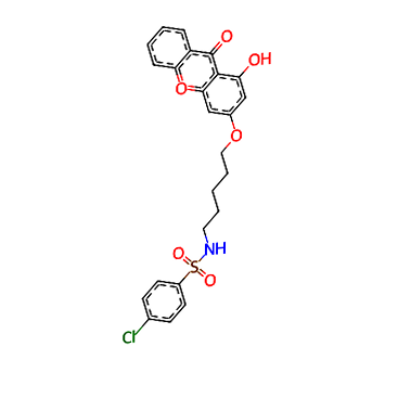 O=c1c2ccccc2oc2cc(OCCCCCNS(=O)(=O)c3ccc(Cl)cc3)cc(O)c12